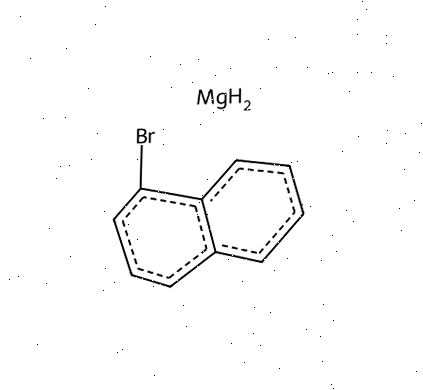 Brc1cccc2ccccc12.[MgH2]